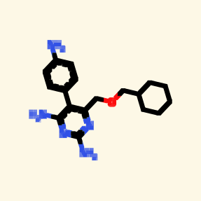 Nc1ccc(-c2c(N)nc(N)nc2COCC2CCCCC2)cc1